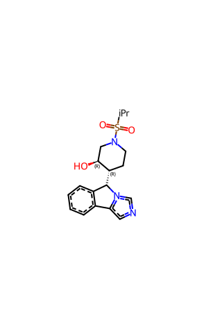 CC(C)S(=O)(=O)N1CC[C@H](C2c3ccccc3-c3cncn32)[C@@H](O)C1